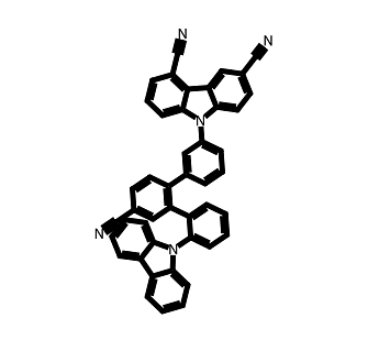 N#Cc1ccc(-c2cccc(-n3c4ccc(C#N)cc4c4c(C#N)cccc43)c2)c(-c2ccccc2-n2c3ccccc3c3ccccc32)c1